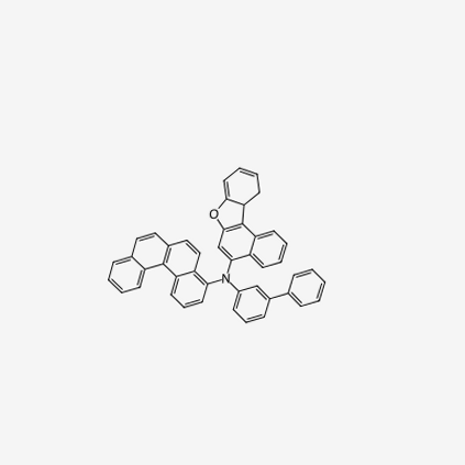 C1=CCC2C(=C1)Oc1cc(N(c3cccc(-c4ccccc4)c3)c3cccc4c3ccc3ccc5ccccc5c34)c3ccccc3c12